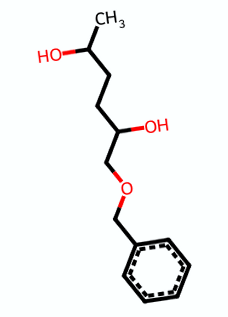 CC(O)CCC(O)COCc1ccccc1